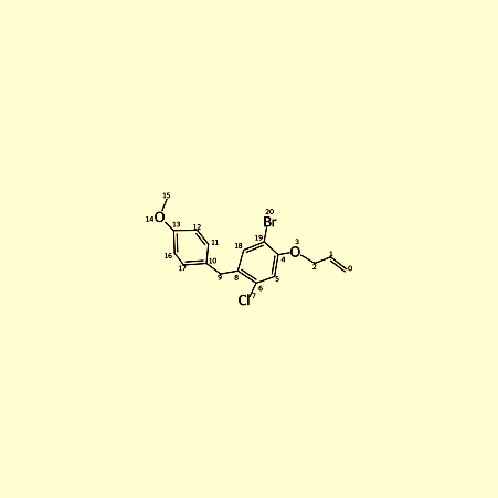 C=CCOc1cc(Cl)c(Cc2ccc(OC)cc2)cc1Br